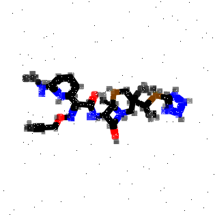 C#CCON=C(C(=O)NC1C(=O)N2CC(C(=O)O)(C(C)Sc3nnn[nH]3)CS[C@H]12)c1cccc(NC=O)n1